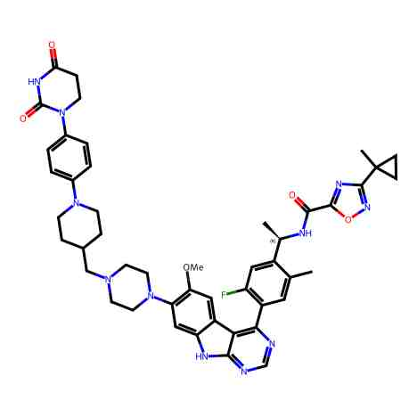 COc1cc2c(cc1N1CCN(CC3CCN(c4ccc(N5CCC(=O)NC5=O)cc4)CC3)CC1)[nH]c1ncnc(-c3cc(C)c([C@@H](C)NC(=O)c4nc(C5(C)CC5)no4)cc3F)c12